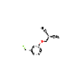 C#C[C@H](COc1cccc(CF)c1)OC(C)=O